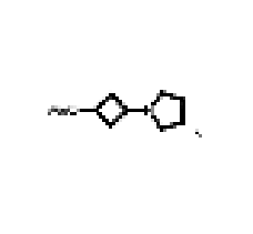 COC1CC(N2CC[C@H](F)C2)C1